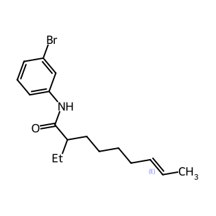 C/C=C/CCCCC(CC)C(=O)Nc1cccc(Br)c1